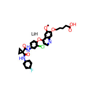 COc1cc2c(Oc3ccc(NC(=O)C4(C(=O)Nc5ccc(F)cc5)CC4)cc3Cl)ccnc2cc1OCCCCC(=O)O.[LiH]